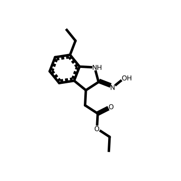 CCOC(=O)CC1C(=NO)Nc2c(CC)cccc21